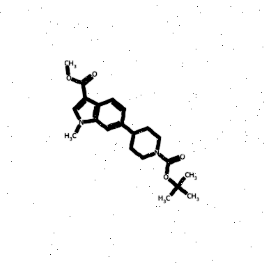 COC(=O)c1cn(C)c2cc(C3CCN(C(=O)OC(C)(C)C)CC3)ccc12